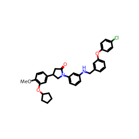 COc1ccc(C2CC(=O)N(c3cccc(NCc4cccc(Oc5ccc(Cl)cc5)c4)c3)C2)cc1OC1CCCC1